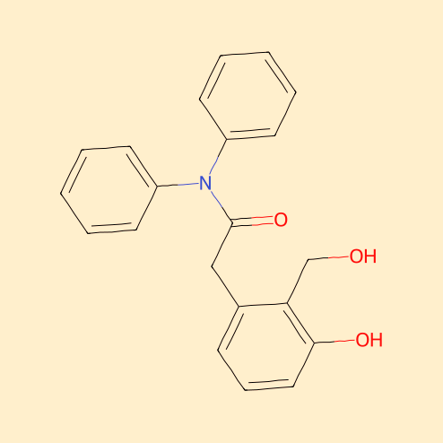 O=C(Cc1cccc(O)c1CO)N(c1ccccc1)c1ccccc1